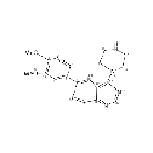 COc1ccc(-c2ccc3ncnc(N4CCNCC4)c3n2)cc1OC